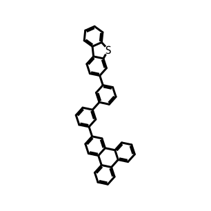 c1cc(-c2cccc(-c3ccc4c5ccccc5c5ccccc5c4c3)c2)cc(-c2ccc3c(c2)sc2ccccc23)c1